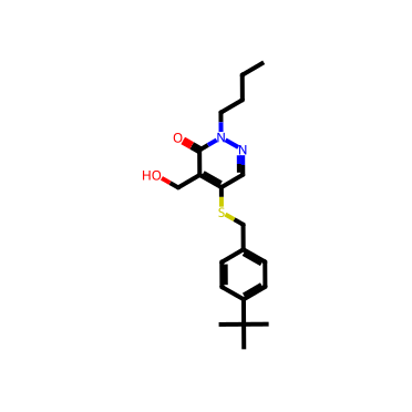 CCCCn1ncc(SCc2ccc(C(C)(C)C)cc2)c(CO)c1=O